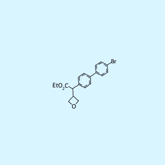 CCOC(=O)C(c1ccc(-c2ccc(Br)cc2)cc1)C1COC1